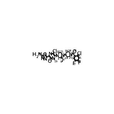 CC[C@H]1CN(c2c(Cl)nc(-c3nnc(N)o3)c(=O)n2C)CCN1C1CCN(C(=O)c2cc(F)c(F)cc2Cl)CC1